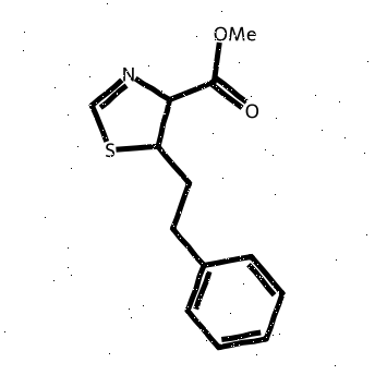 COC(=O)C1N=CSC1CCc1ccccc1